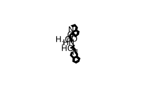 C[C@H](Oc1cccc2cccnc12)C(=O)NCC(O)CN1CCc2ccccc2C1